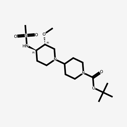 CO[C@@H]1CN(C2CCN(C(=O)OC(C)(C)C)CC2)CC[C@H]1NS(C)(=O)=O